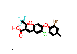 Cc1ccc(Oc2cc3c(cc2Cl)C=C(C(=O)O)C(C(F)(F)F)O3)c(Br)c1